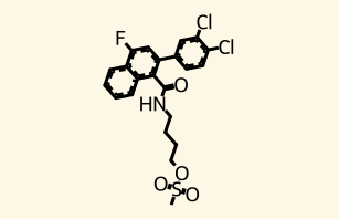 CS(=O)(=O)OCCCCNC(=O)c1c(-c2ccc(Cl)c(Cl)c2)cc(F)c2ccccc12